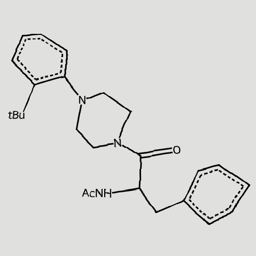 CC(=O)NC(Cc1ccccc1)C(=O)N1CCN(c2ccccc2C(C)(C)C)CC1